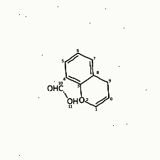 C1=COc2ccccc2C1.O=CO